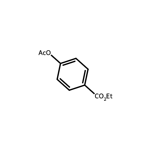 CCOC(=O)c1ccc(OC(C)=O)cc1